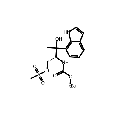 CC(C)(C)OC(=O)N[C@H](COS(C)(=O)=O)C(C)(O)c1cccc2cc[nH]c12